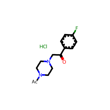 CC(=O)N1CCN(CC(=O)c2ccc(F)cc2)CC1.Cl